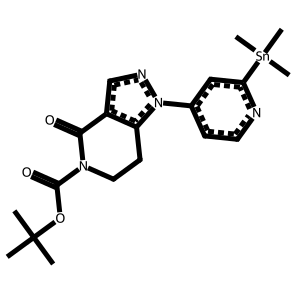 CC(C)(C)OC(=O)N1CCc2c(cnn2-c2ccn[c]([Sn]([CH3])([CH3])[CH3])c2)C1=O